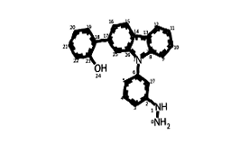 NNc1cccc(-n2c3ccccc3c3ccc(-c4ccccc4O)cc32)c1